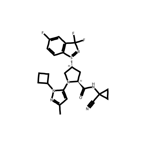 Cc1cc(N2C[C@H](S3=BC(F)(F)c4cc(F)ccc43)C[C@H]2C(=O)NC2(C#N)CC2)n(C2CCC2)n1